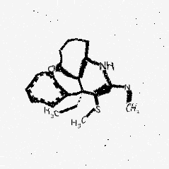 C=NC1=C(SC)[C@@](CC)(c2ccccc2)C2=C(CCCC2=O)N1